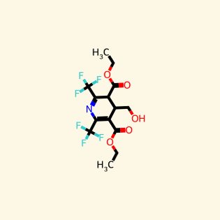 CCOC(=O)C1=C(C(F)(F)F)N=C(C(F)(F)F)C(C(=O)OCC)C1CO